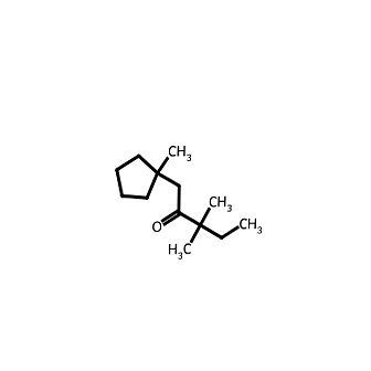 CCC(C)(C)C(=O)CC1(C)CCCC1